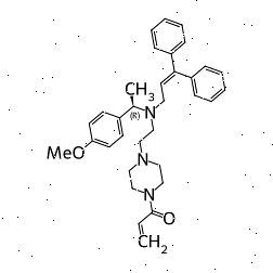 C=CC(=O)N1CCN(CCN(CC=C(c2ccccc2)c2ccccc2)[C@H](C)c2ccc(OC)cc2)CC1